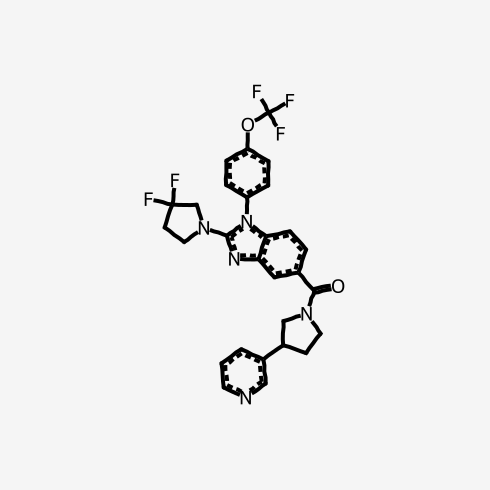 O=C(c1ccc2c(c1)nc(N1CCC(F)(F)C1)n2-c1ccc(OC(F)(F)F)cc1)N1CCC(c2cccnc2)C1